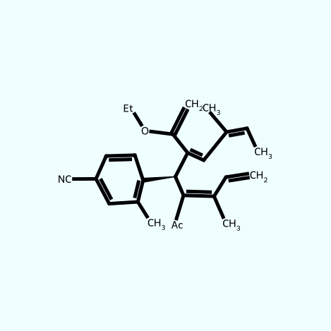 C=C/C(C)=C(/C(C)=O)[C@H](/C(=C/C(C)=C\C)C(=C)OCC)c1ccc(C#N)cc1C